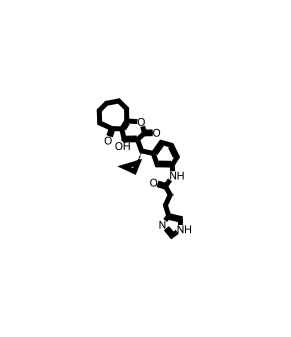 O=C([CH]Cc1c[nH]cn1)Nc1cccc([C@@H](c2c(O)c3c(oc2=O)CCCCCC3=O)C2CC2)c1